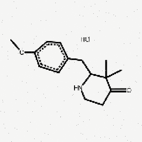 COc1ccc(CC2NCCC(=O)C2(C)C)cc1.Cl